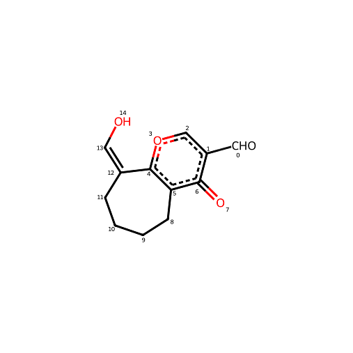 O=Cc1coc2c(c1=O)CCCC/C2=C/O